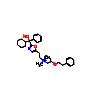 C[N+](C)(CCOCCc1ccccc1)CCc1cnc(C(O)(c2ccccc2)C2CCCCC2)o1